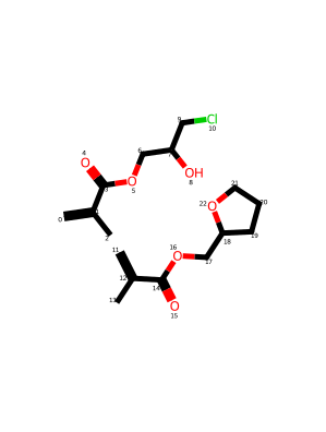 C=C(C)C(=O)OCC(O)CCl.C=C(C)C(=O)OCC1CCCO1